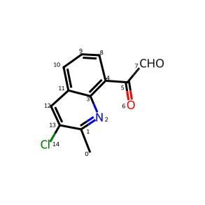 Cc1nc2c(C(=O)C=O)cccc2cc1Cl